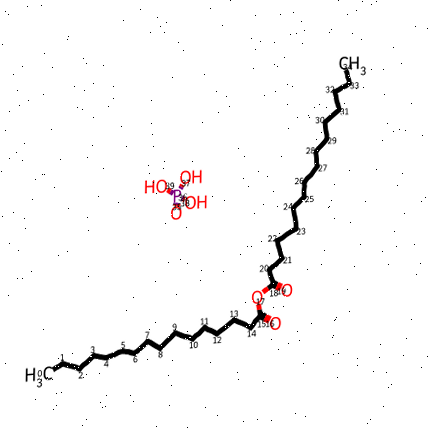 CCCCCCCCCCCCCCCC(=O)OC(=O)CCCCCCCCCCCCCCC.O=P(O)(O)O